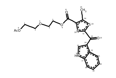 CC(=O)OCCOCCOC(=O)c1nc(C(=O)c2c[nH]c3ccccc23)sc1C